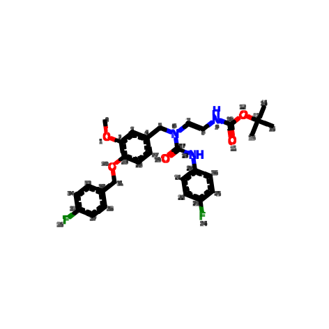 COc1cc(CN(CCNC(=O)OC(C)(C)C)C(=O)Nc2ccc(F)cc2)ccc1OCc1ccc(F)cc1